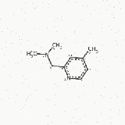 Cc1ccnc(CN(C)C)c1